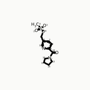 CS(=O)(=O)OCc1ccc(C(=O)N2CCCC2)nc1